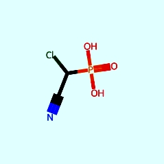 N#CC(Cl)P(=O)(O)O